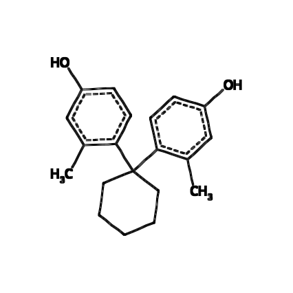 Cc1cc(O)ccc1C1(c2ccc(O)cc2C)CCCCC1